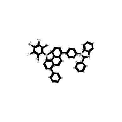 [2H]c1c([2H])c([2H])c(-n2c3ccc(-c4ccccc4)c4ccc5c(-c6ccc(-n7c(-c8ccccc8)nc8ccccc87)cc6)ccc2c5c43)c([2H])c1[2H]